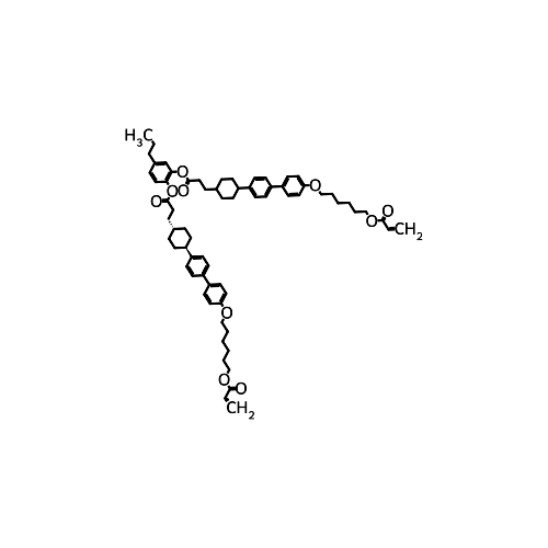 C=CC(=O)OCCCCCCOc1ccc(-c2ccc(C3CCC(CCC(=O)Oc4cc(CCC)ccc4OC(=O)CC[C@H]4CC[C@H](c5ccc(-c6ccc(OCCCCCCOC(=O)C=C)cc6)cc5)CC4)CC3)cc2)cc1